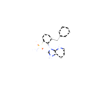 NS(=O)(=O)c1cccc(Cc2ccccc2)c1-n1cnc2cccnc21